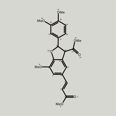 COC(=O)C=Cc1cc(OC)c2c(c1)C(C(=O)OC)C(c1ccc(OC)c(OC)c1)O2